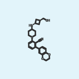 N#Cc1c(-c2ccc3c(c2)OCCO3)cccc1N1CCC(N[C@H]2C[C@H](CO)C2)CC1